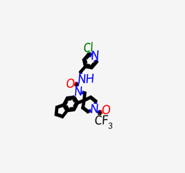 O=C(NCc1ccnc(Cl)c1)N1CC2(CCN(C(=O)C(F)(F)F)CC2)c2cc3c(cc21)CCC3